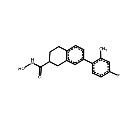 Cc1cc(F)ccc1-c1ccc2c(c1)CC(C(=O)NO)CC2